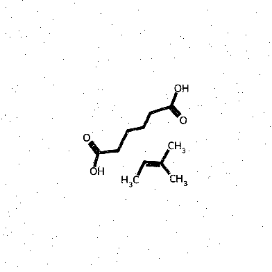 CC=C(C)C.O=C(O)CCCCC(=O)O